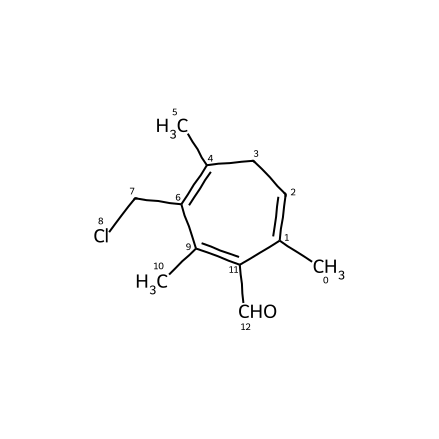 CC1=CCC(C)=C(CCl)C(C)=C1C=O